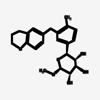 CO[C@H]1O[C@@H](c2ccc(C)c(Cc3ccc4c(c3)CCCO4)c2)[C@H](O)[C@@H](O)[C@@H]1O